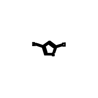 Clc1cc(Br)cs1